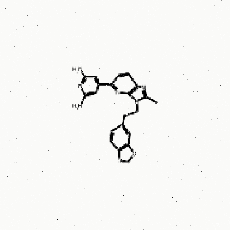 Cc1nc2ccc(-c3cc(N)nc(N)c3)nc2n1CCc1ccc2c(c1)OCO2